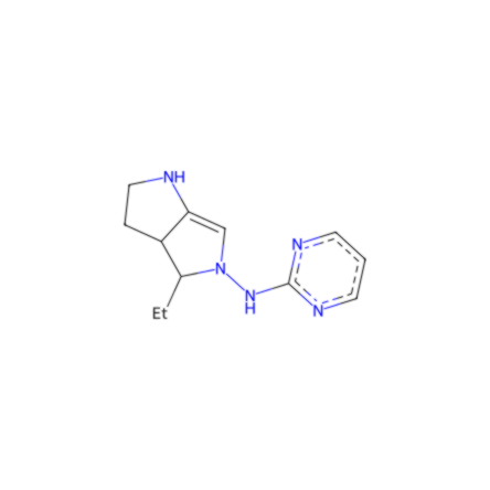 CCC1C2CCNC2=CN1Nc1ncccn1